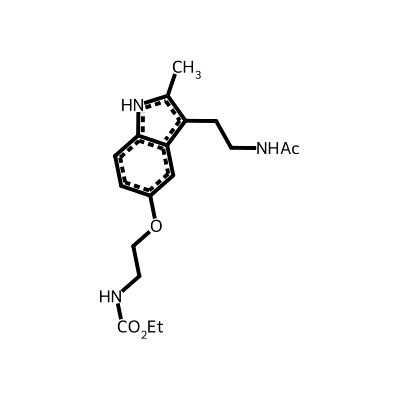 CCOC(=O)NCCOc1ccc2[nH]c(C)c(CCNC(C)=O)c2c1